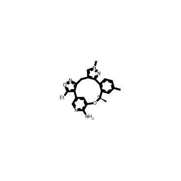 CCc1onc2c1-c1cnc(N)c(c1)O[C@H](C)c1cc(C)ccc1-c1nn(C)cc1C2